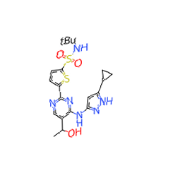 CC(O)c1cnc(-c2ccc(S(=O)(=O)NC(C)(C)C)s2)nc1Nc1cc(C2CC2)[nH]n1